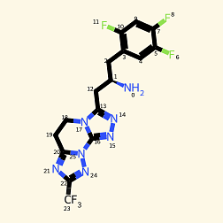 N[C@H](Cc1cc(F)c(F)cc1F)Cc1nnc2n1CCc1nc(C(F)(F)F)nn1-2